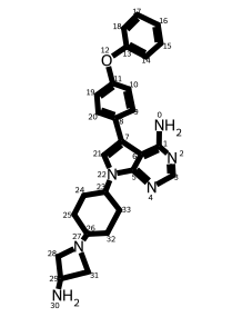 Nc1ncnc2c1c(-c1ccc(Oc3ccccc3)cc1)cn2C1CCC(N2CC(N)C2)CC1